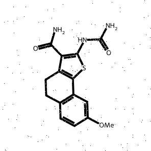 COc1ccc2c(c1)-c1sc(NC(N)=O)c(C(N)=O)c1CC2